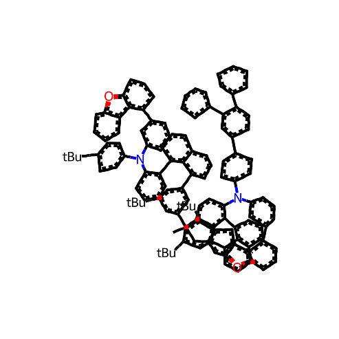 CC(C)(C)c1ccc(N(c2cccc(-c3cccc4oc5ccccc5c34)c2)c2ccccc2-c2cccc3cccc(-c4cc(C(C)(C)C)cc(C(C)(C)Cc5ccc6c(c5)oc5cccc(-c7cccc(N(c8ccc(-c9ccc(-c%10ccccc%10)c(-c%10ccccc%10)c9)cc8)c8ccccc8-c8cccc9cccc(-c%10cc(C(C)(C)C)cc(C(C)(C)C)c%10)c89)c7)c56)c4)c23)cc1